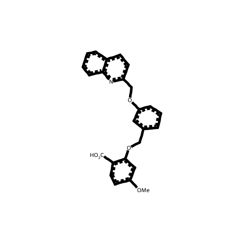 COc1ccc(C(=O)O)c(OCc2cccc(OCc3ccc4ccccc4n3)c2)c1